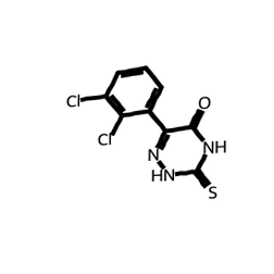 O=c1[nH]c(=S)[nH]nc1-c1cccc(Cl)c1Cl